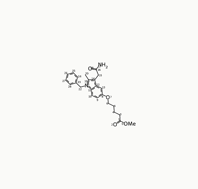 COC(=O)CCCCOc1ccc2c(c1)c(CC(N)=O)c(C)n2Cc1ccccc1